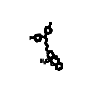 CC1Oc2ccccc2COC12CCN(CCCCC(c1ccc(F)cc1)c1ccc(F)cc1)CC2